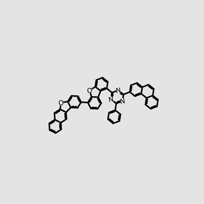 c1ccc(-c2nc(-c3ccc4ccc5ccccc5c4c3)nc(-c3cccc4oc5c(-c6ccc7oc8cc9ccccc9cc8c7c6)cccc5c34)n2)cc1